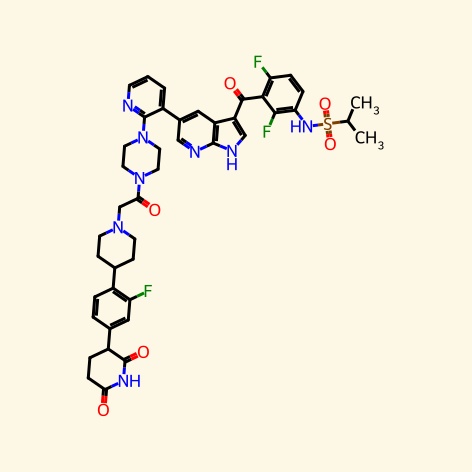 CC(C)S(=O)(=O)Nc1ccc(F)c(C(=O)c2c[nH]c3ncc(-c4cccnc4N4CCN(C(=O)CN5CCC(c6ccc(C7CCC(=O)NC7=O)cc6F)CC5)CC4)cc23)c1F